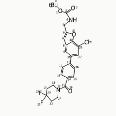 CC(C)(C)OC(=O)NCc1cc2cc(-c3ccc(C(=O)N4CCC(F)(F)CC4)cc3)cc(Cl)c2o1